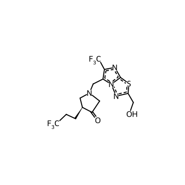 O=C1CN(Cc2c(C(F)(F)F)nc3sc(CO)nn23)C[C@@H]1CCC(F)(F)F